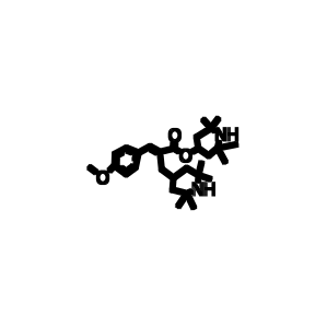 COc1ccc(/C=C(\CC2CC(C)(C)NC(C)(C)C2)C(=O)OC2CC(C)(C)NC(C)(C)C2)cc1